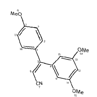 COc1ccc(C(=CC#N)c2cc(OC)cc(OC)c2)cc1